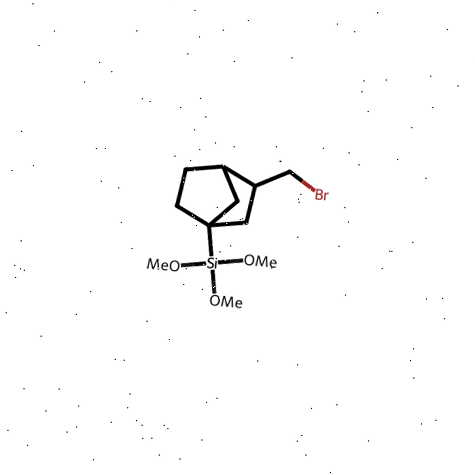 CO[Si](OC)(OC)C12CCC(C1)C(CBr)C2